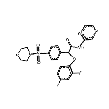 O=C(Nc1cnccn1)C(Oc1ccc(F)cc1F)c1ccc(S(=O)(=O)N2CCOCC2)cc1